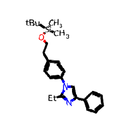 CCc1nc(-c2ccccc2)cn1-c1ccc(CCO[Si](C)(C)C(C)(C)C)cc1